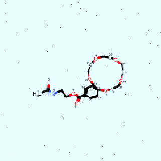 CC(=O)NCCOC(=O)c1ccc2c(c1)OCCOCCOCCOCCO2